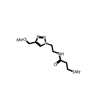 COCc1cn(CCNC(=O)CCSC)nn1